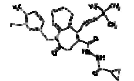 Cc1ccc(CN2C(=O)CC(C(=O)NNC(=O)C3CC3)=C(C#C[Si](C)(C)C)c3ccccc32)cc1F